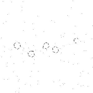 Cc1c(COc2cc(OCc3cncc(C#N)c3)c(C=O)cc2Cl)cccc1-c1cccc(OCCCn2cc(C=O)nn2)c1C